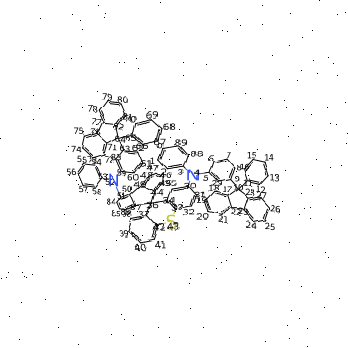 c1ccc(N(c2cccc(C3(c4ccccc4)c4ccccc4-c4ccccc43)c2)c2ccc3c(c2)C2(c4ccccc4S3)c3ccccc3-c3c(N(c4ccccc4)c4cccc(C5(c6ccccc6)c6ccccc6-c6ccccc65)c4)cccc32)cc1